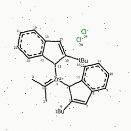 C[C](C)=[Zr+2]([CH]1C(C(C)(C)C)=Cc2ccccc21)[CH]1C(C(C)(C)C)=Cc2ccccc21.[Cl-].[Cl-]